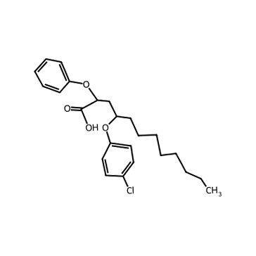 CCCCCCCCC(CC(Oc1ccccc1)C(=O)O)Oc1ccc(Cl)cc1